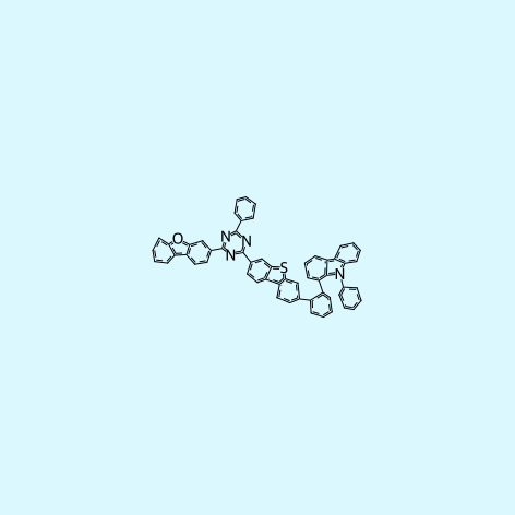 c1ccc(-c2nc(-c3ccc4c(c3)oc3ccccc34)nc(-c3ccc4c(c3)sc3cc(-c5ccccc5-c5cccc6c7ccccc7n(-c7ccccc7)c56)ccc34)n2)cc1